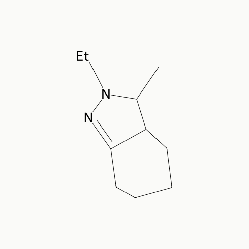 CCN1N=C2CCCCC2C1C